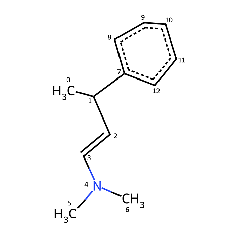 CC(C=CN(C)C)c1ccccc1